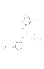 COc1cc(C[C@@H]2CNCCN2C(=O)c2cc(C(F)(F)F)cc(C(F)(F)F)c2)ccc1Cl.Cl